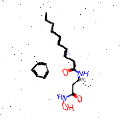 CCCCCC/C=C/CC(=O)N[C@H](C)CC(=O)NO.c1ccccc1